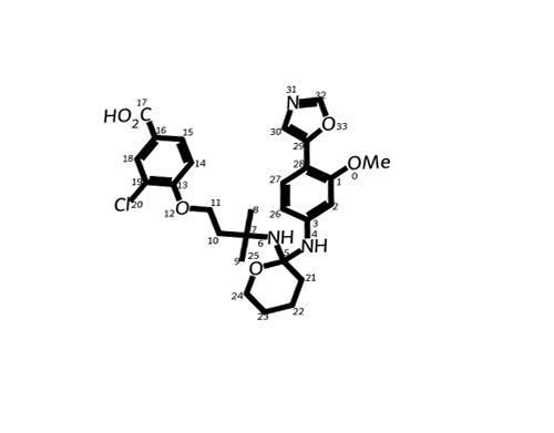 COc1cc(NC2(NC(C)(C)CCOc3ccc(C(=O)O)cc3Cl)CCCCO2)ccc1-c1cnco1